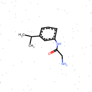 CC(C)c1cccc(NC(=O)CN)c1